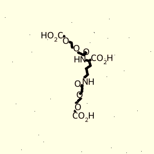 O=C(O)COCCOCC(=O)NCCCCC(NC(=O)COCCOCC(=O)O)C(=O)O